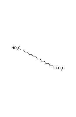 O=C(O)CC/C=C/CCCCCCCCCCCCCC(=O)O